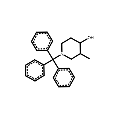 CC1CN(C(c2ccccc2)(c2ccccc2)c2ccccc2)CCC1O